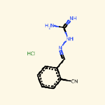 Cl.N#Cc1ccccc1C=NNC(=N)N